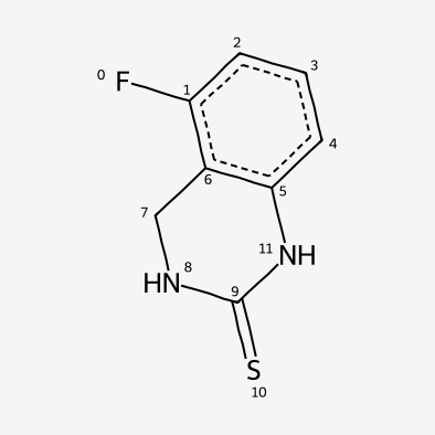 Fc1cccc2c1CNC(=S)N2